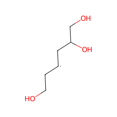 OCC[CH]CC(O)CO